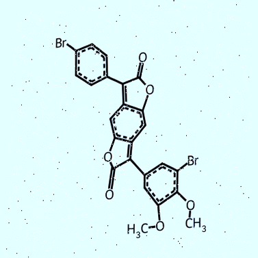 COc1cc(C2=c3cc4c(cc3OC2=O)=C(c2ccc(Br)cc2)C(=O)O4)cc(Br)c1OC